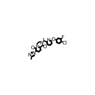 Cc1cn(-c2ccc3n(c2=O)CCN([C@@H](C)c2cccc(Oc4ccc(Cl)c(F)c4)n2)C3=O)cn1